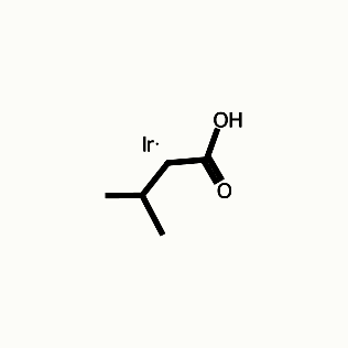 CC(C)CC(=O)O.[Ir]